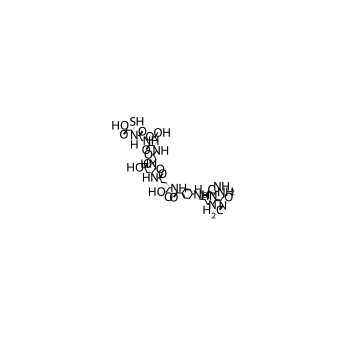 C=NC1=C(/N=C\CCNC2C=CC(C(=O)N[C@@H](CCC(=O)N[C@@H](CC(=O)O)C(=O)NCC(=O)N[C@@H](CC(=O)O)C(=O)NCC(=O)N[C@@H](CS)C(=O)O)C(=O)O)=CC2)NC(C)(N)NC1=O